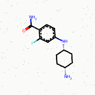 NC(=O)c1ccc(N[C@H]2CC[C@@H](N)CC2)cc1F